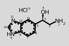 Cl.NC[C@H](O)c1ccc2[nH]cnc2c1